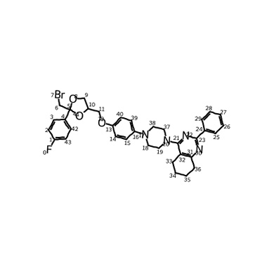 Fc1ccc(C2(CBr)OCC(COc3ccc(N4CCN(c5nc(-c6ccccc6)nc6c5CCCC6)CC4)cc3)O2)cc1